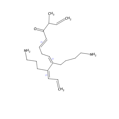 C=C/C=C(CCCN)\C(=C/C/C=C/C(=O)C(C)C=C)CCCCN